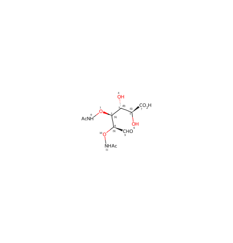 CC(=O)NO[C@@H]([C@H](O)[C@H](O)C(=O)O)[C@@H](C=O)ONC(C)=O